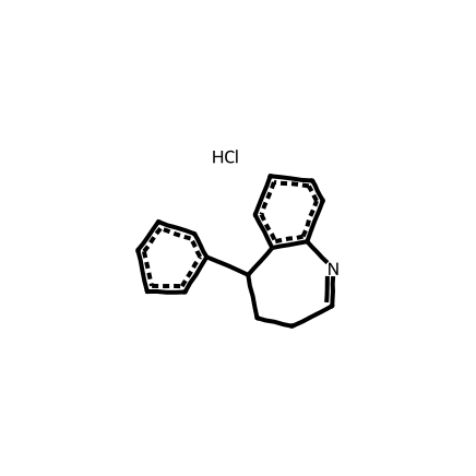 C1=Nc2ccccc2C(c2ccccc2)CC1.Cl